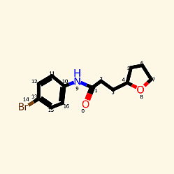 O=C(CCC1CCCO1)Nc1ccc(Br)cc1